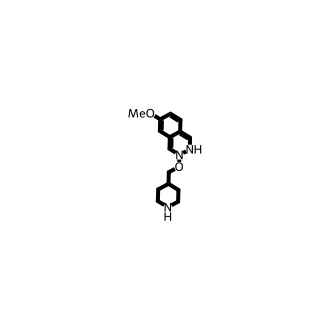 COc1ccc2c(c1)=CN(OCC1CCNCC1)NC=2